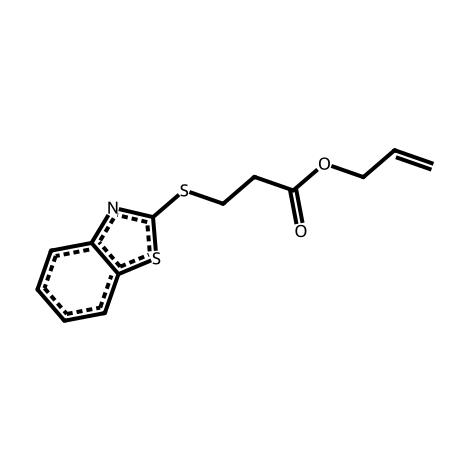 C=CCOC(=O)CCSc1nc2ccccc2s1